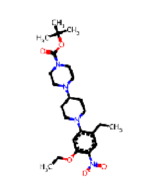 CCOc1cc(N2CCC(N3CCN(C(=O)OC(C)(C)C)CC3)CC2)c(CC)cc1[N+](=O)[O-]